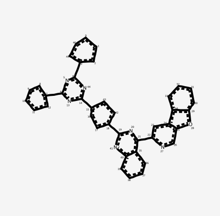 c1ccc(-c2nc(-c3ccccc3)nc(-c3ccc(-c4nc(-c5cc6c(cn5)oc5ccccc56)c5ccccc5n4)cc3)n2)cc1